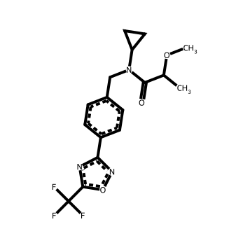 COC(C)C(=O)N(Cc1ccc(-c2noc(C(F)(F)F)n2)cc1)C1CC1